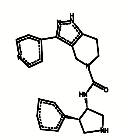 O=C(N[C@@H]1CNC[C@H]1c1ccccc1)N1CCc2[nH]nc(-c3ccncc3)c2C1